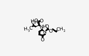 C=CCOC(=O)N1CC(=O)C=CC1N[C@@H](CC(C)C)C(=O)O